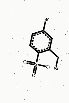 O=S(=O)(Cl)c1ccc(Br)cc1CBr